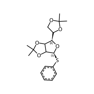 CC1(C)OCC([C@H]2O[C@@H](Sc3ccccc3)C3OC(C)(C)OC32)O1